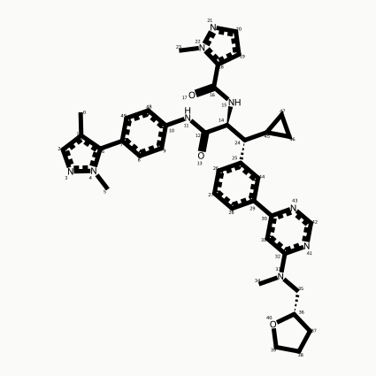 Cc1cnn(C)c1-c1ccc(NC(=O)[C@@H](NC(=O)c2ccnn2C)[C@@H](c2cccc(-c3cc(N(C)C[C@@H]4CCCO4)ncn3)c2)C2CC2)cc1